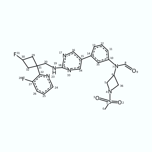 CS(=O)(=O)N1CC(N(C=O)c2cccc(-c3cnc(NCC4(c5ncccc5F)CC(F)C4)nc3)c2)C1